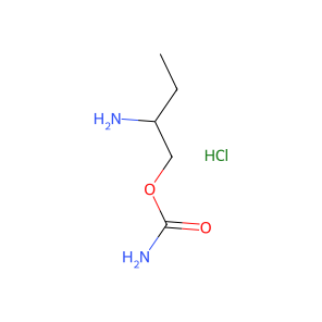 CCC(N)COC(N)=O.Cl